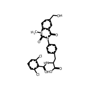 Cn1c(=O)n(-c2ccc(CC(NC(=O)c3c(Cl)cccc3Cl)C(=O)O)cc2)c(=O)c2cc(CO)ccc21